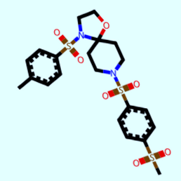 Cc1ccc(S(=O)(=O)N2CCOC23CCN(S(=O)(=O)c2ccc(S(C)(=O)=O)cc2)CC3)cc1